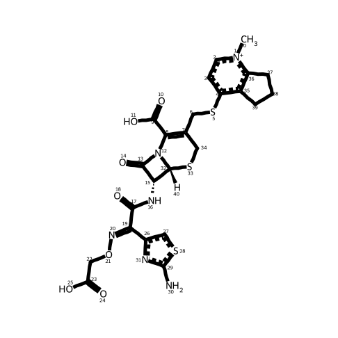 C[n+]1ccc(SCC2=C(C(=O)O)N3C(=O)[C@@H](NC(=O)/C(=N/OCC(=O)O)c4csc(N)n4)[C@H]3SC2)c2c1CCC2